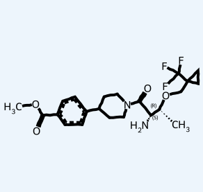 COC(=O)c1ccc(C2CCN(C(=O)[C@@H](N)[C@@H](C)OCC3(C(F)(F)F)CC3)CC2)cc1